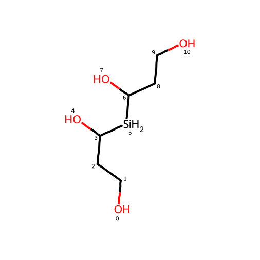 OCCC(O)[SiH2]C(O)CCO